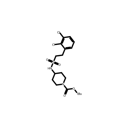 CC(C)(C)OC(=O)N1CCC(NS(=O)(=O)CCc2cccc(Cl)c2Cl)CC1